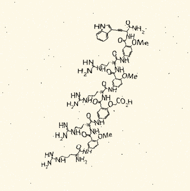 COc1ccc(NC(=O)[C@@H](CCCNC(=N)N)NC(=O)c2cc(NC(=O)[C@@H](CCCNC(=N)N)NC(=O)c3cc(NC(=O)[C@@H](CCCNC(=N)N)NC(=O)c4cc(NC(=O)[C@H](N)CCCNC(=N)N)ccc4OC)ccc3OCC(=O)O)ccc2OC)cc1C(=O)NC(C#Cc1c[nH]c2ccccc12)C(N)=O